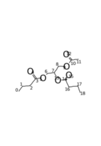 CCCC(=O)OCC(COC(C)=O)OC(=O)CCC